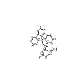 O=C(C=P(c1ccccc1)(c1ccccc1)c1ccccc1)c1cc(F)ccc1O